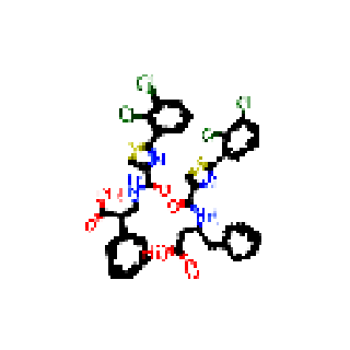 O=C(NCC(C(=O)O)c1ccccc1)c1csc(-c2cccc(Cl)c2Cl)n1.O=C(O)CC(Cc1ccccc1)NC(=O)c1csc(-c2cccc(Cl)c2Cl)n1